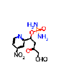 NP(N)(=O)OC(CC(=O)CC=O)c1cc([N+](=O)[O-])ccn1